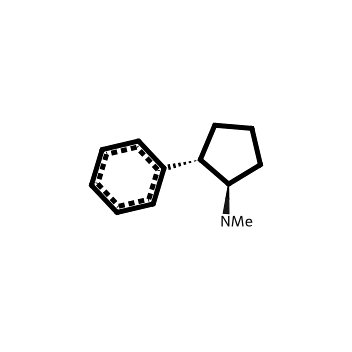 CN[C@@H]1CCC[C@H]1c1ccccc1